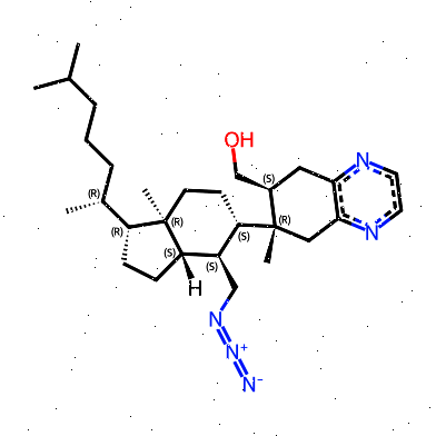 CC(C)CCC[C@@H](C)[C@H]1CC[C@H]2[C@H](CN=[N+]=[N-])[C@@H]([C@@]3(C)Cc4nccnc4C[C@@H]3CO)CC[C@]12C